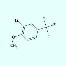 [Li][c]1cc(C(F)(F)F)ccc1OC